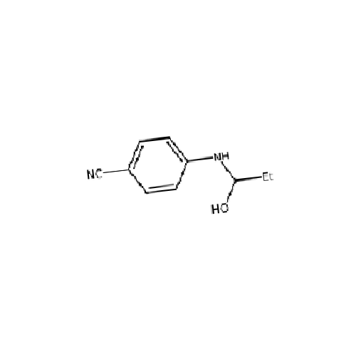 CCC(O)Nc1ccc(C#N)cc1